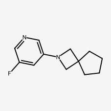 Fc1cncc(N2CC3(CCCC3)C2)c1